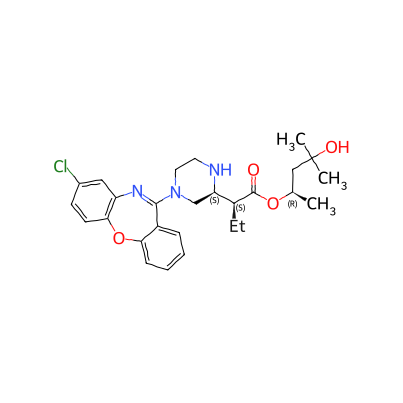 CC[C@H](C(=O)O[C@H](C)CC(C)(C)O)[C@H]1CN(C2=Nc3cc(Cl)ccc3Oc3ccccc32)CCN1